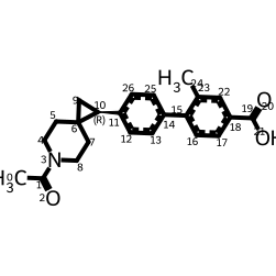 CC(=O)N1CCC2(CC1)C[C@H]2c1ccc(-c2ccc(C(=O)O)cc2C)cc1